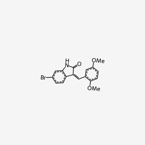 COc1ccc(OC)c(/C=C2\C(=O)Nc3cc(Br)ccc32)c1